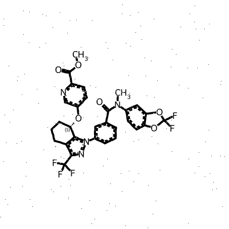 COC(=O)c1ccc(O[C@H]2CCCc3c(C(F)(F)F)nn(-c4cccc(C(=O)N(C)c5ccc6c(c5)OC(F)(F)O6)c4)c32)cn1